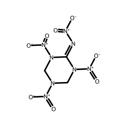 O=[N+]([O-])N=C1N([N+](=O)[O-])CN([N+](=O)[O-])CN1[N+](=O)[O-]